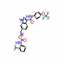 CC(C)c1ccccc1NC(=O)O/N=C/c1ccc2c(C(=O)Nc3ccc(OC(F)(F)F)cc3)nn(C)c2c1